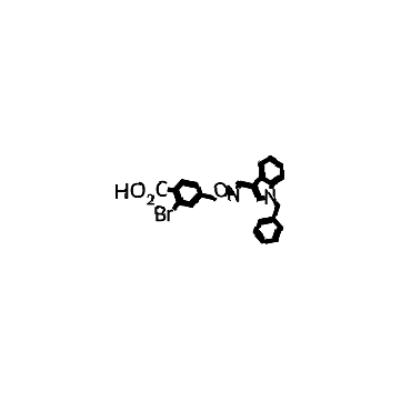 O=C(O)c1ccc(CON=Cc2cn(Cc3ccccc3)c3ccccc23)cc1Br